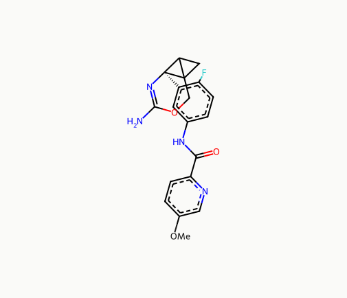 COc1ccc(C(=O)Nc2ccc(F)c([C@@]34N=C(N)OCC35CC54)c2)nc1